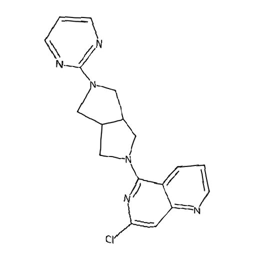 Clc1cc2ncccc2c(N2CC3CN(c4ncccn4)CC3C2)n1